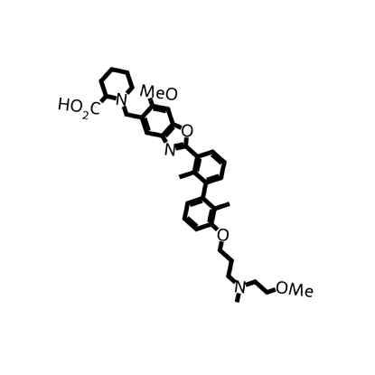 COCCN(C)CCCOc1cccc(-c2cccc(-c3nc4cc(CN5CCCCC5C(=O)O)c(OC)cc4o3)c2C)c1C